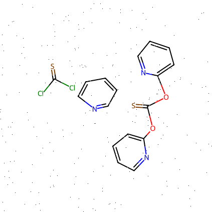 S=C(Cl)Cl.S=C(Oc1ccccn1)Oc1ccccn1.c1ccncc1